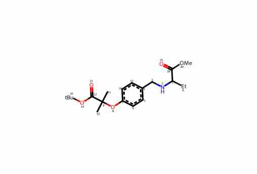 CCC(NCc1ccc(OC(C)(C)C(=O)OC(C)(C)C)cc1)C(=O)OC